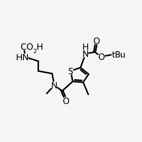 Cc1cc(NC(=O)OC(C)(C)C)sc1C(=O)N(C)CCCNC(=O)O